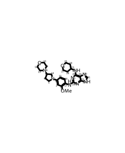 COc1cc(N2CCC(N3CCOCC3)C2)ccc1Nc1nc(NC2CCOCC2)c2nc[nH]c2n1